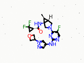 C[C@H]1[C@H]2CN(c3nc(Nc4cnn(C5COC5)c4)ncc3F)C[C@@]21NC(=O)[C@@H]1CC1(F)F